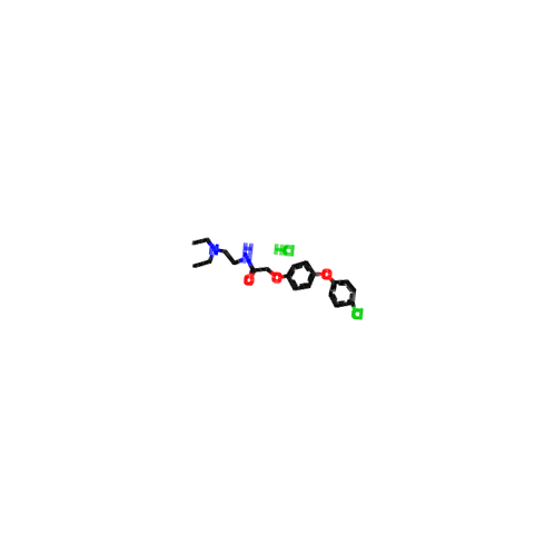 CCN(CC)CCNC(=O)COc1ccc(Oc2ccc(Cl)cc2)cc1.Cl